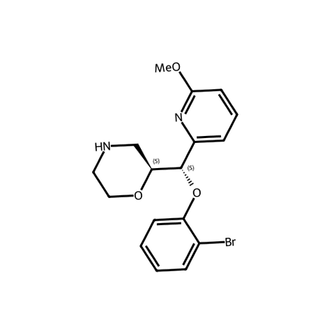 COc1cccc([C@H](Oc2ccccc2Br)[C@@H]2CNCCO2)n1